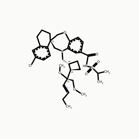 CC/C=C/[C@](COC)(OC)[C@@H]1CC[C@H]1CN1C[C@@]2(CCCc3cc(Cl)ccc32)COc2ccc(C(=O)NS(=O)(=O)C(C)C)cc21